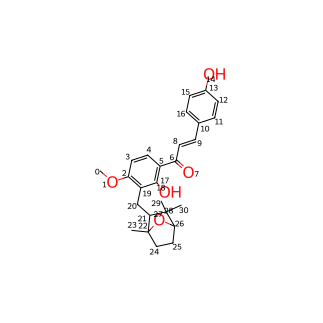 COc1ccc(C(=O)/C=C/c2ccc(O)cc2)c(O)c1CC1C2(C)CCC(O2)C1(C)C